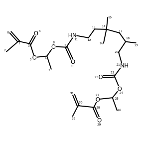 C=C(C)C(=O)OC(C)OC(=O)NCCC(C)(C)CC(C)CNC(=O)OC(C)OC(=O)C(=C)C